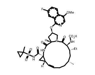 CC[C@@H]1C[C@H](C)CCC=C[C@@H]2C[C@@]2(C(=O)NS(=O)(=O)C2(C)CC2)NC(=O)[C@@H]2C[C@@H](Oc3ncc(OC)c4ccc(F)cc34)CN2C(=O)[C@H]1NC(=O)O